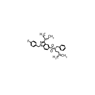 CCN(CC)c1nn(Cc2ccc(F)cc2)c2ccc(S(=O)(=O)N(CCN(C)C)Cc3ccccc3)cc12